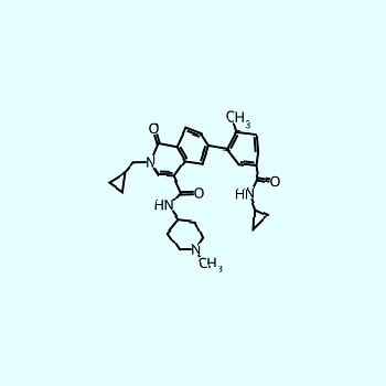 Cc1ccc(C(=O)NC2CC2)cc1-c1ccc2c(=O)n(CC3CC3)cc(C(=O)NC3CCN(C)CC3)c2c1